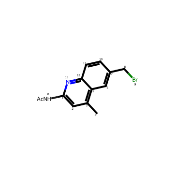 CC(=O)Nc1cc(C)c2cc(CBr)ccc2n1